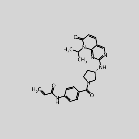 C=CC(=O)Nc1ccc(C(=O)N2CC[C@H](Nc3ncc4ccc(=O)n(C(C)C)c4n3)C2)cc1